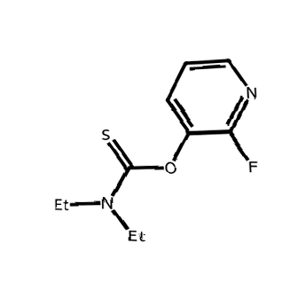 CCN(CC)C(=S)Oc1cccnc1F